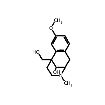 COc1ccc2c(c1)C1(CO)CCN(C)C(C2)C1O